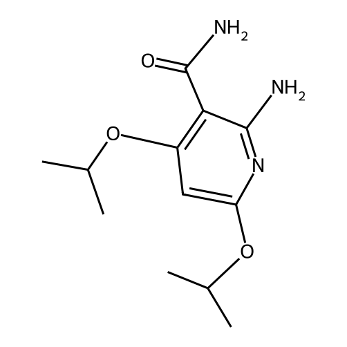 CC(C)Oc1cc(OC(C)C)c(C(N)=O)c(N)n1